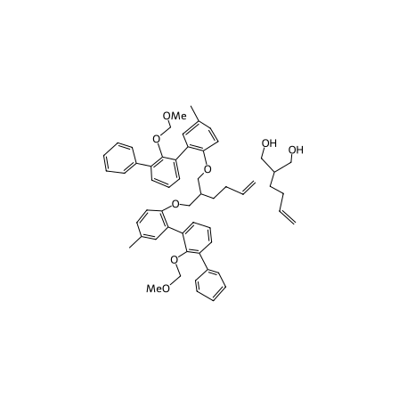 C=CCCC(CO)CO.C=CCCC(COc1ccc(C)cc1-c1cccc(-c2ccccc2)c1OCOC)COc1ccc(C)cc1-c1cccc(-c2ccccc2)c1OCOC